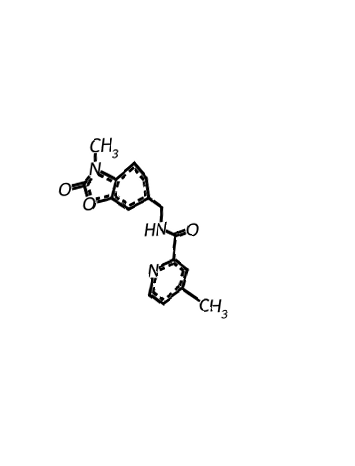 Cc1ccnc(C(=O)NCc2ccc3c(c2)oc(=O)n3C)c1